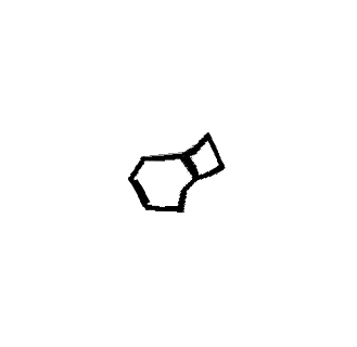 C1=CCC2CC[C]2C1